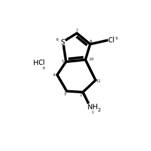 Cl.NC1CCc2scc(Cl)c2C1